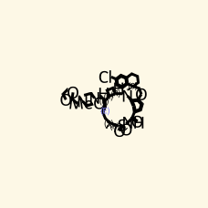 CO[C@@]1(CN2CCN(CC3OCCO3)CC2)/C=C/C[C@H](C)[C@@H](C)S(=O)(=O)NC(=O)c2ccc3c(c2)N(C[C@@H]2CC[C@H]21)C[C@@]1(CCCc2cc(Cl)ccc21)CO3